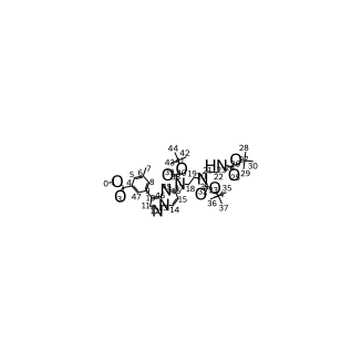 COC(=O)c1cc(C)cc(-c2cnn3ccc(N(CCN(CCNC(=O)OC(C)(C)C)C(=O)OC(C)(C)C)C(=O)OC(C)(C)C)nc23)c1